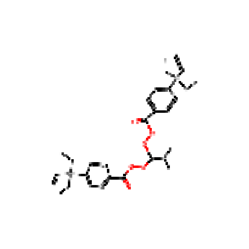 [CH2]C(C)[C](OOC(=O)c1ccc([Si](C=C)(CC)CC)cc1)OOC(=O)c1ccc([Si](C=C)(CC)CC)cc1